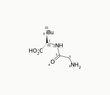 CC[C@H](C)[C@H](NC(=O)CN)C(=O)O